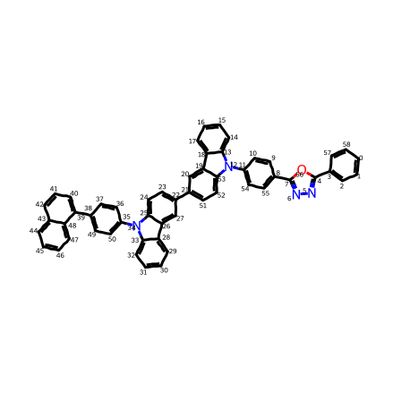 c1ccc(-c2nnc(-c3ccc(-n4c5ccccc5c5cc(-c6ccc7c(c6)c6ccccc6n7-c6ccc(-c7cccc8ccccc78)cc6)ccc54)cc3)o2)cc1